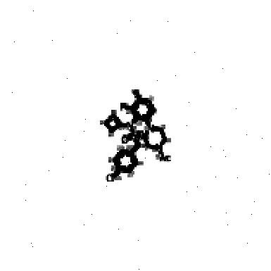 [CH2]c1ccc(N2CCN(C(C)=O)CC2)c(N(C2CCC2)S(=O)(=O)Cc2ccc(Cl)cc2)c1F